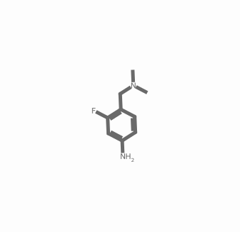 CN(C)Cc1ccc(N)cc1F